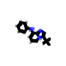 CC(C)(C)c1cnc2c(Nc3ccccc3)cccn12